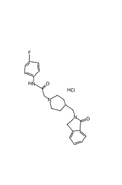 Cl.O=C(CN1CCC(CN2Cc3ccccc3C2=O)CC1)Nc1ccc(F)cc1